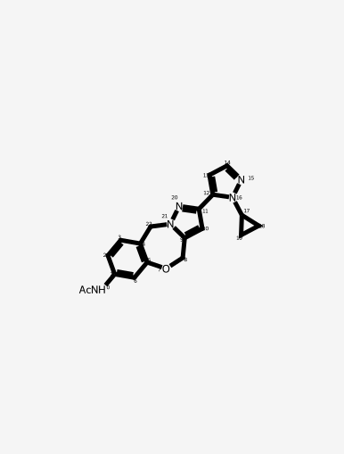 CC(=O)Nc1ccc2c(c1)OCc1cc(-c3ccnn3C3CC3)nn1C2